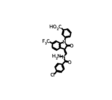 NN(/C=C1/C(=O)N(c2cccc(C(=O)O)c2)c2cc(C(F)(F)F)ccc21)C(=O)c1ccc(Cl)cc1